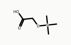 C[Si](C)(C)OCC(=O)O